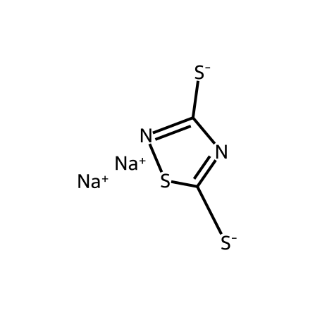 [Na+].[Na+].[S-]c1nsc([S-])n1